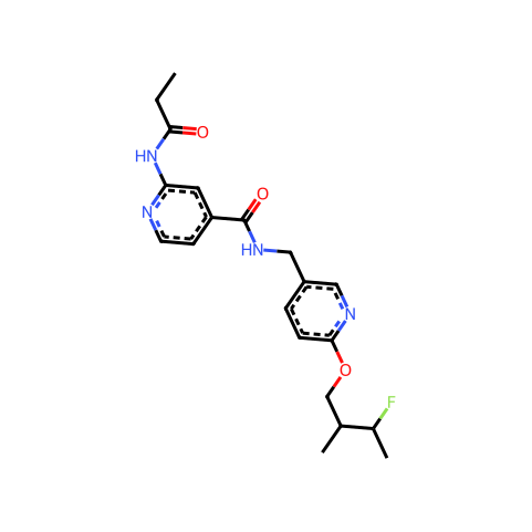 CCC(=O)Nc1cc(C(=O)NCc2ccc(OCC(C)C(C)F)nc2)ccn1